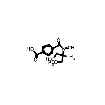 CCC(C)(CC)N(C)C(=O)c1ccc(C(=O)O)cc1